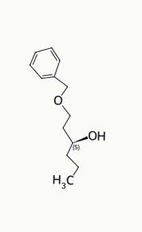 CCC[C@H](O)CCOCc1ccccc1